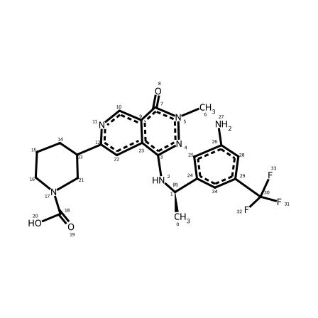 C[C@@H](Nc1nn(C)c(=O)c2cnc(C3CCCN(C(=O)O)C3)cc12)c1cc(N)cc(C(F)(F)F)c1